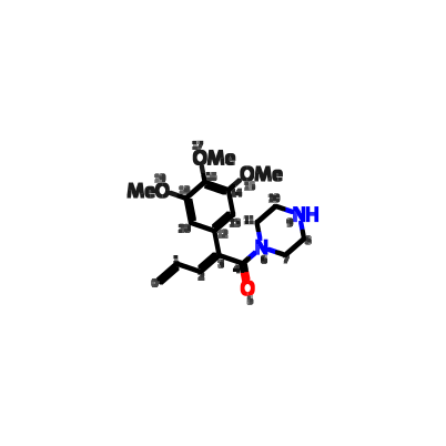 C=C/C=C(/C(=O)N1CCNCC1)c1cc(OC)c(OC)c(OC)c1